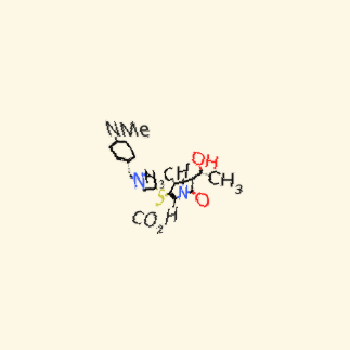 CN[C@H]1CC[C@H](CN2CC[C@@H](SC3=C(C(=O)O)N4C(=O)[C@H]([C@@H](C)O)[C@H]4[C@H]3C)C2)CC1